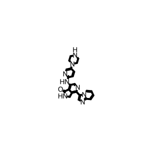 O=C1NCc2c(-c3cnc4ccccn34)ncc(Nc3ccc(N4CCNCC4)cn3)c21